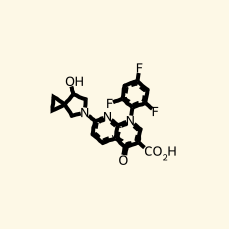 O=C(O)c1cn(-c2c(F)cc(F)cc2F)c2nc(N3CC(O)C4(CC4)C3)ccc2c1=O